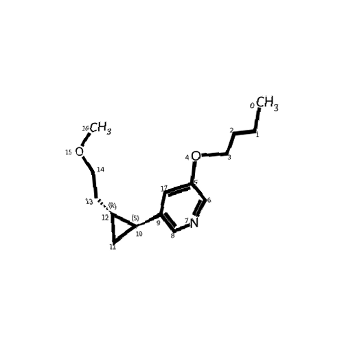 CCCCOc1cncc([C@H]2C[C@@H]2CCOC)c1